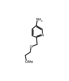 COCCOCc1ccc(N)cn1